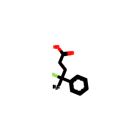 CC(F)(CCC(=O)O)c1ccccc1